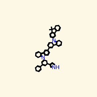 CC1(C)C2=C(C=CCC2)c2cc(N3C4=C(C=CCC4)C4C=C(c5ccc6c(c5)c5c(n6C6=CC(C7=CCCC=C7)=CC(c7cc[nH]c7)C6)CCC=C5)C=CC43)ccc21